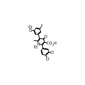 CCOc1cc(F)cc(-c2c(C)n(CC)c(-c3ccc(Cl)c(Cl)c3)c(C(=O)O)c2=O)c1